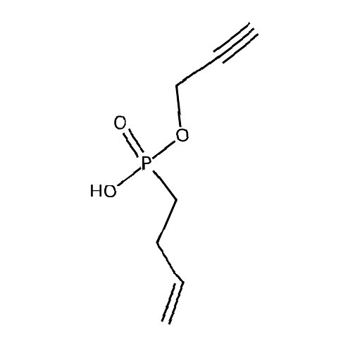 C#CCOP(=O)(O)CCC=C